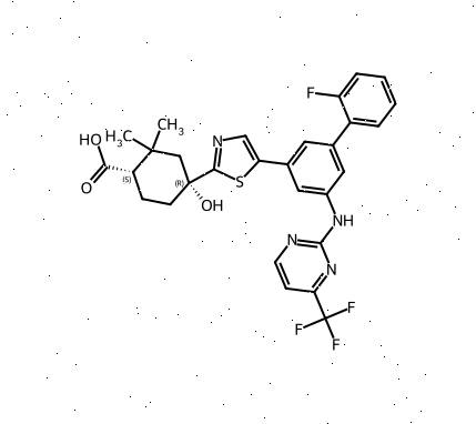 CC1(C)C[C@@](O)(c2ncc(-c3cc(Nc4nccc(C(F)(F)F)n4)cc(-c4ccccc4F)c3)s2)CC[C@@H]1C(=O)O